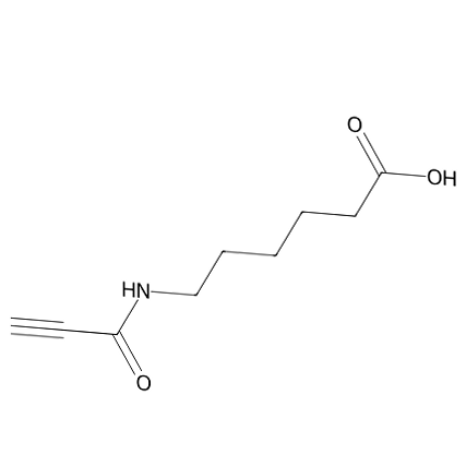 C#CC(=O)NCCCCCC(=O)O